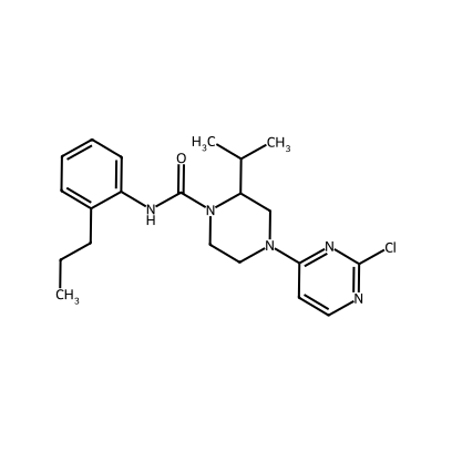 CCCc1ccccc1NC(=O)N1CCN(c2ccnc(Cl)n2)CC1C(C)C